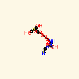 Cc1ncsc1-c1ccc(CNC(=O)[C@@H]2C[C@@H](O)CN2C(=O)C(NC(=O)COCCOCCOCCOc2ccc(Oc3c(-c4ccc(O)cc4)sc4cc(O)ccc34)cc2)C(C)C)cc1